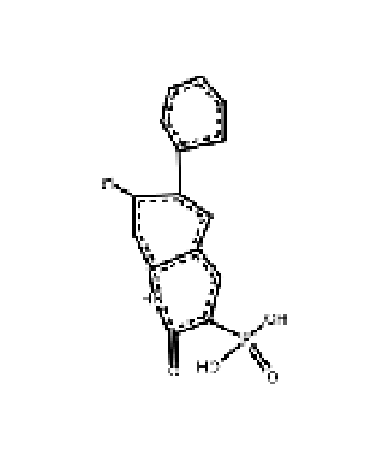 O=c1[nH]c2cc(Cl)c(-c3ccccc3)cc2cc1P(=O)(O)O